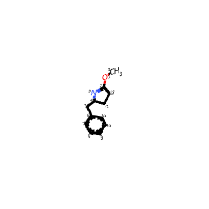 COC1=NC(Cc2ccccc2)CC1